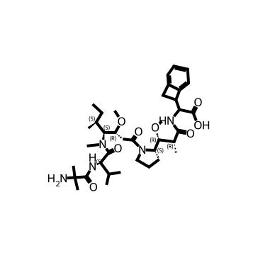 CC[C@H](C)[C@@H]([C@@H](CC(=O)N1CCC[C@H]1[C@H](OC)[C@@H](C)C(=O)NC(C(=O)O)C1Cc2ccccc21)OC)N(C)C(=O)[C@@H](NC(=O)C(C)(C)N)C(C)C